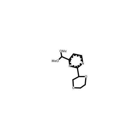 COC(OC)c1ccnc(C2COCCO2)n1